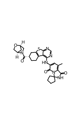 Cc1cc(Nc2ncnc3sc4c(c23)CC[C@H](C(=O)N2C[C@H]3C[C@@H]2CO3)C4)c(=O)n2c1C(=O)NC21CCCC1